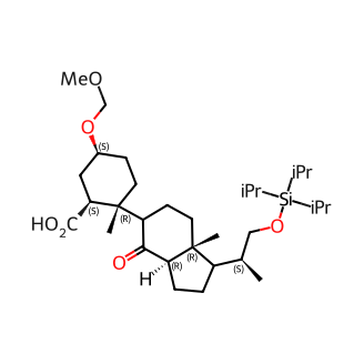 COCO[C@H]1CC[C@](C)(C2CC[C@]3(C)C([C@H](C)CO[Si](C(C)C)(C(C)C)C(C)C)CC[C@H]3C2=O)[C@@H](C(=O)O)C1